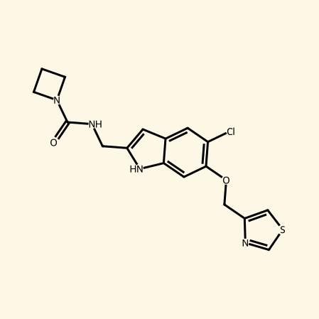 O=C(NCc1cc2cc(Cl)c(OCc3cscn3)cc2[nH]1)N1CCC1